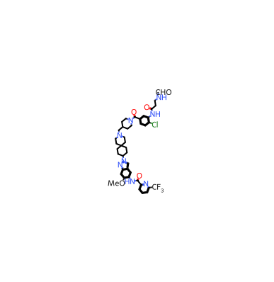 COc1cc2nn(C3CCC4(CC3)CCN(CC3CCN(C(=O)c5ccc(Cl)c(NC(=O)CCNC=O)c5)CC3)CC4)cc2cc1NC(=O)c1cccc(C(F)(F)F)n1